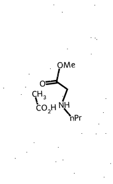 CC(=O)O.CCCNCC(=O)OC